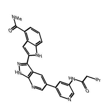 CNC(=O)c1cccc2[nH]c(-c3n[nH]c4ncc(-c5cncc(NC(=O)CC(C)C)c5)cc34)cc12